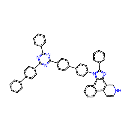 C1=Cc2c(c3nc(-c4ccccc4)n(-c4ccc(-c5ccc(-c6nc(-c7ccccc7)nc(-c7ccc(-c8ccccc8)cc7)n6)cc5)cc4)c3c3ccccc23)CN1